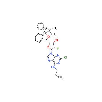 CCCNc1nc(Cl)nc2c1ncn2[C@@H]1O[C@H](CO[Si](c2ccccc2)(c2ccccc2)C(C)(C)C)[C@@H](O)[C@@H]1F